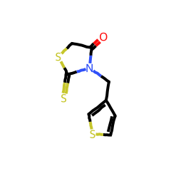 O=C1CSC(=S)N1Cc1ccsc1